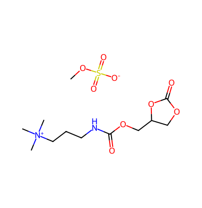 COS(=O)(=O)[O-].C[N+](C)(C)CCCNC(=O)OCC1COC(=O)O1